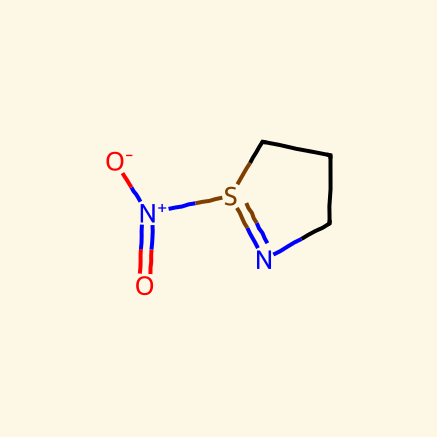 O=[N+]([O-])S1=NCCC1